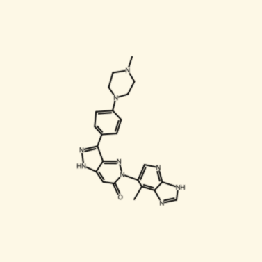 Cc1c(-n2nc3c(-c4ccc(N5CCN(C)CC5)cc4)n[nH]c3cc2=O)cnc2[nH]cnc12